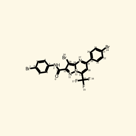 O=C(Nc1ccc(Br)cc1)c1nn2c(C(F)(F)F)cc(-c3ccc(Br)cc3)nc2c1Br